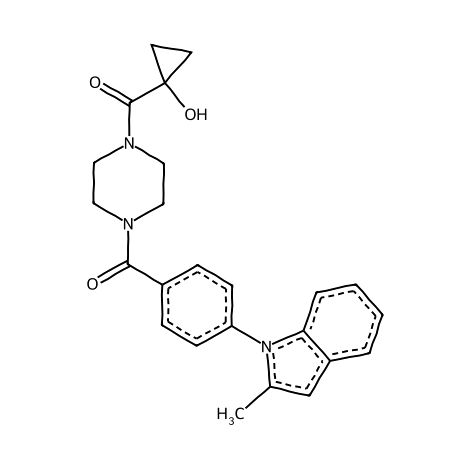 Cc1cc2ccccc2n1-c1ccc(C(=O)N2CCN(C(=O)C3(O)CC3)CC2)cc1